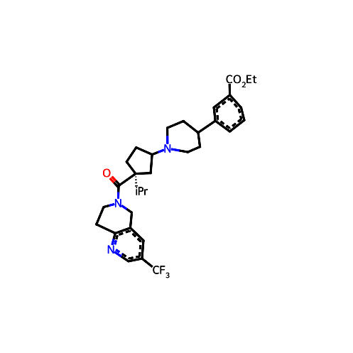 CCOC(=O)c1cccc(C2CCN(C3CC[C@@](C(=O)N4CCc5ncc(C(F)(F)F)cc5C4)(C(C)C)C3)CC2)c1